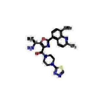 COc1ccc(-c2nc(C(=O)N3CCN(c4nncs4)CC3)c([C@H](C)N)o2)c2ccc(C(F)(F)F)nc12